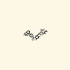 C=C(/C(C#N)=C\C)N1CCN(Cc2cc(C(=O)N3CCN(c4cccc5cn[nH]c45)C[C@@H]3C)c(C)cc2C)CC1